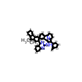 CC1(C)c2ccccc2-c2ccc(-c3nc(Nc4c(-c5cccc6c5C6)c5cccc6c7ccccc7c4n56)nc4ccccc34)cc21